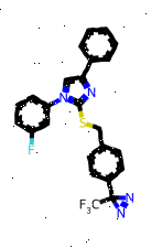 Fc1cccc(-n2cc(-c3ccccc3)nc2SCc2ccc(C3(C(F)(F)F)N=N3)cc2)c1